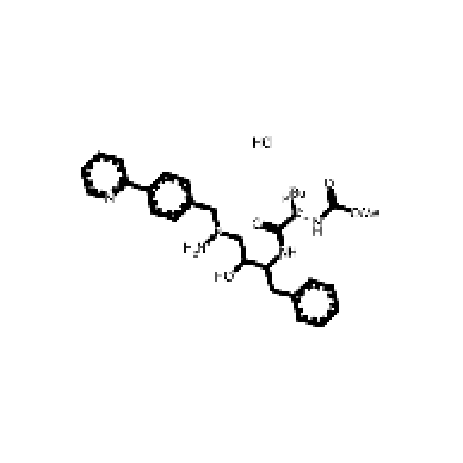 CC[C@H](C)[C@H](NC(=O)OC)C(=O)NC(Cc1ccccc1)C(O)CN(N)Cc1ccc(-c2ccccn2)cc1.Cl